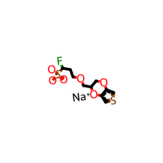 O=S(=O)([O-])C(F)CCOCC1COc2cscc2O1.[Na+]